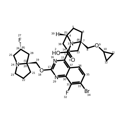 O=C(O)N1[C@H]2CC[C@]1(COC1CC1)CN(c1nc(OC[C@@]34CCCN3C[C@H](F)C4)nc3c(F)c(Br)ccc13)C2